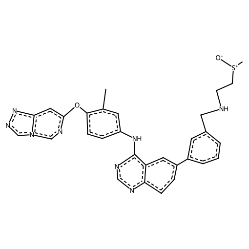 Cc1cc(Nc2ncnc3ccc(-c4cccc(CNCC[S+](C)[O-])c4)cc23)ccc1Oc1cc2nncn2cn1